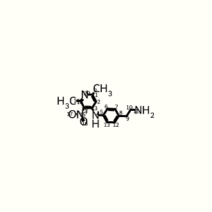 Cc1cc(Nc2ccc(CCN)cc2)c([N+](=O)[O-])c(C)n1